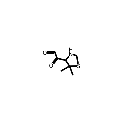 CC1(C)SCNC1C(=O)C=O